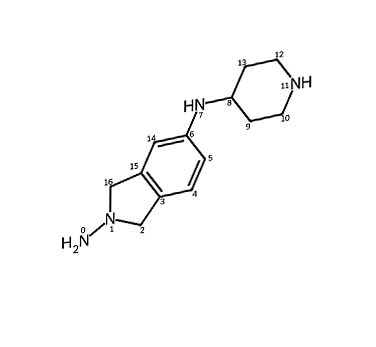 NN1Cc2ccc(NC3CCNCC3)cc2C1